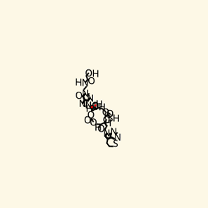 O=C(CO)NCCn1cnc2c(ncn2[C@@H]2O[C@@H]3COP(=O)(S)O[C@H]4C[C@H](n5cc6c7c(ncnc75)SCCC6)O[C@@H]4COC(=O)O[C@@H]2[C@@H]3O)c1=O